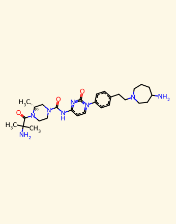 C[C@@H]1CN(C(=O)Nc2ccn(-c3ccc(CCN4CCCC(N)CC4)cc3)c(=O)n2)CCN1C(=O)C(C)(C)N